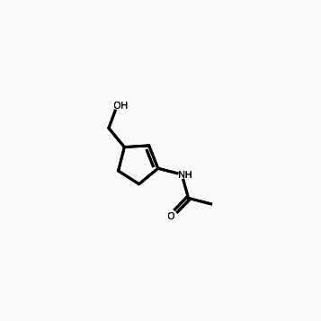 CC(=O)NC1=CC(CO)CC1